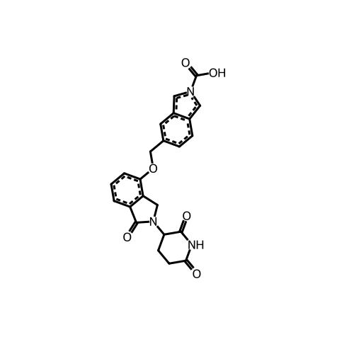 O=C1CCC(N2Cc3c(OCc4ccc5cn(C(=O)O)cc5c4)cccc3C2=O)C(=O)N1